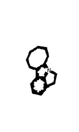 c1cc2c3c(c1)c1c(n3CC2)CCCCCC1